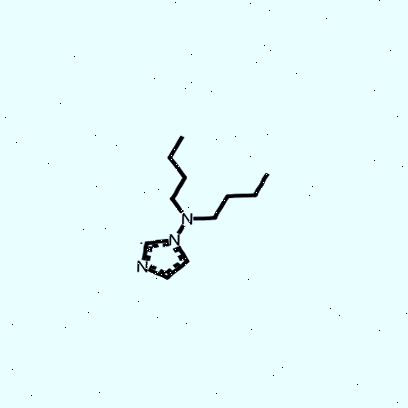 CCCCN(CCCC)n1[c]ncc1